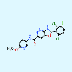 COc1ccc(NC(=O)c2cc3c(nn2)NC(c2c(Cl)ccc(F)c2Cl)O3)cn1